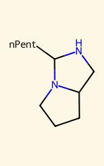 CCCCCC1NCC2CCCN21